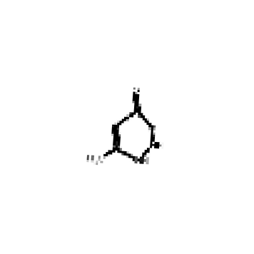 CC1=CC(=O)[C]NN1